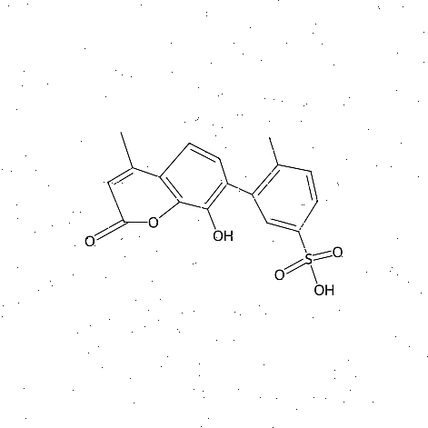 Cc1ccc(S(=O)(=O)O)cc1-c1ccc2c(C)cc(=O)oc2c1O